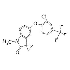 CN1C(=O)C2(CC2)c2cc(Oc3ccc(C(F)(F)F)cc3Cl)ccc21